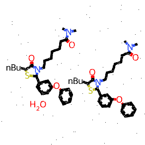 CCCCC1SC(c2cccc(Oc3ccccc3)c2)N(CCCCCCC(=O)N(C)C)C1=O.CCCCC1SC(c2cccc(Oc3ccccc3)c2)N(CCCCCCC(=O)N(C)C)C1=O.O